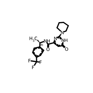 C[C@@H](NC(=O)c1cc(=O)[nH]c(N2CCCCC2)n1)c1ccc(C(F)(F)F)cc1